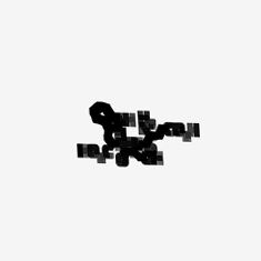 N[C@@H](CCC(=O)O)C(=O)N[C@@H](CO)C(=O)N[C@H](Cc1c[nH]c2ccccc12)C(=O)O